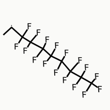 C[CH]C(F)(F)C(F)(F)C(F)(F)C(F)(F)C(F)(F)C(F)(F)C(F)(F)C(F)(F)F